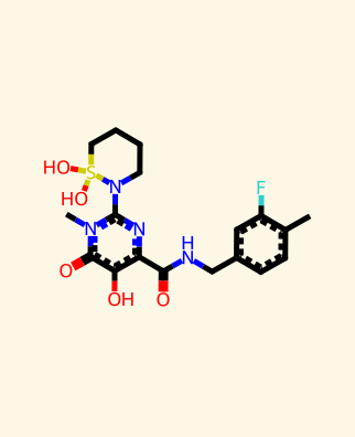 Cc1ccc(CNC(=O)c2nc(N3CCCCS3(O)O)n(C)c(=O)c2O)cc1F